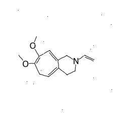 C=CN1CCC2=CCC(OC)=C(OC)C=C2C1